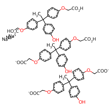 CC(c1ccc(O)cc1)(c1ccc(OCC(=O)O)cc1)c1ccc(OCC(=O)O)cc1.CC(c1ccc(O)cc1)(c1ccc(OCC(=O)[O-])cc1)c1ccc(OCC(=O)O)cc1.CC(c1ccc(O)cc1)(c1ccc(OCC(=O)[O-])cc1)c1ccc(OCC(=O)[O-])cc1.[Na+].[Na+].[Na+]